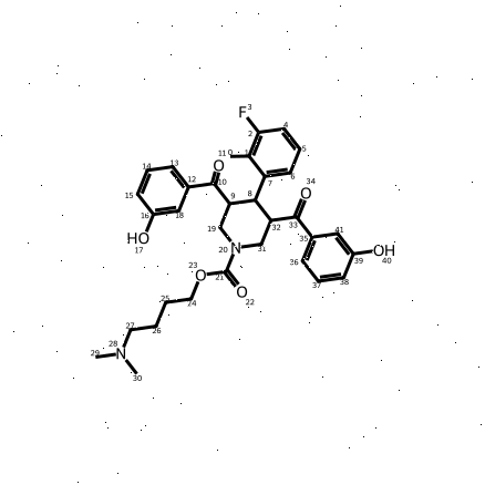 Cc1c(F)cccc1C1C(C(=O)c2cccc(O)c2)CN(C(=O)OCCCCN(C)C)CC1C(=O)c1cccc(O)c1